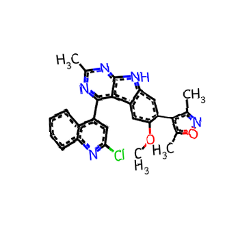 COc1cc2c(cc1-c1c(C)noc1C)[nH]c1nc(C)nc(-c3cc(Cl)nc4ccccc34)c12